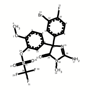 COc1ccc(C2(c3ccc(F)c(Br)c3)N=C(N)N(C)C2=O)cc1OS(=O)(=O)C(F)(F)F